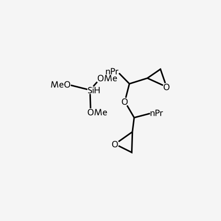 CCCC(OC(CCC)C1CO1)C1CO1.CO[SiH](OC)OC